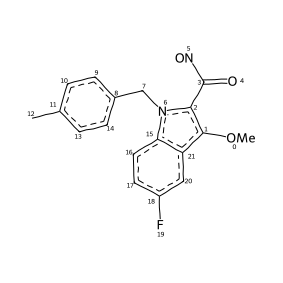 COc1c(C(=O)N=O)n(Cc2ccc(C)cc2)c2ccc(F)cc12